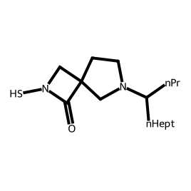 CCCCCCCC(CCC)N1CCC2(CN(S)C2=O)C1